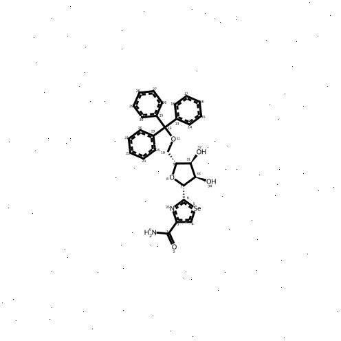 NC(=O)c1c[se]c([C@@H]2O[C@H](COC(c3ccccc3)(c3ccccc3)c3ccccc3)[C@@H](O)[C@H]2O)n1